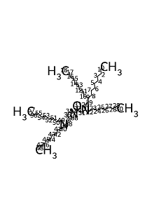 CCCCCCCCCC(CCCCCCCCC)CCN(CCCCCCCCC)CC(=O)N1CCC(CN(CCCCCCCCC)CCCCCCCCC)C1